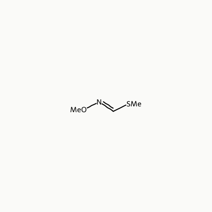 [CH2]SC=NOC